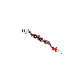 C=CC(=O)OCCCCCCOc1ccc(COc2ccc(OC(=O)c3ccc(OCCCCCC)cc3)cc2)cc1